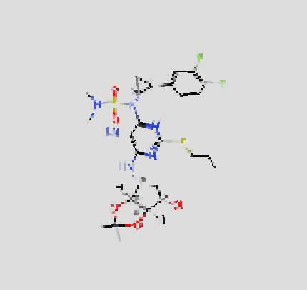 CCCSc1nc(N[C@@H]2C[C@H](O)[C@H]3OC(C)(C)O[C@H]32)c(N)c(N([C@@H]2C[C@H]2c2ccc(F)c(F)c2)S(=O)(=O)N(C)C)n1